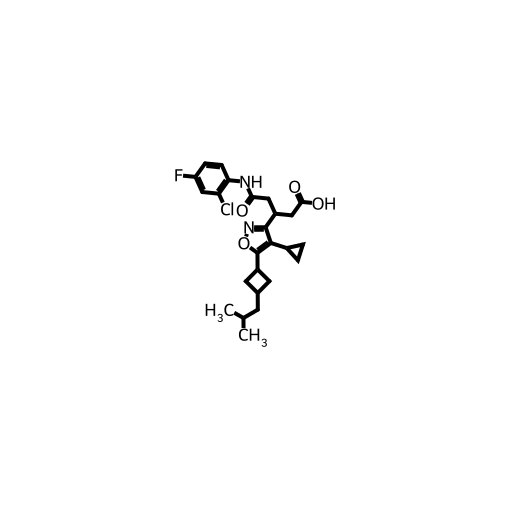 CC(C)CC1CC(c2onc(C(CC(=O)O)CC(=O)Nc3ccc(F)cc3Cl)c2C2CC2)C1